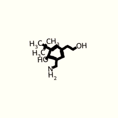 CC(C)(C)c1cc(CCO)cc(CN)c1O